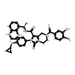 C[C@@H](NC(=O)c1c2n(c(=O)n1-c1ccc(OC3CC3)cc1)CCN(C(=O)c1ccc(Br)c(Cl)c1)C2)c1cccc2nccnc12